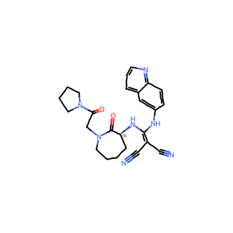 N#CC(C#N)=C(Nc1ccc2ncccc2c1)N[C@H]1CCCCN(CC(=O)N2CCCC2)C1=O